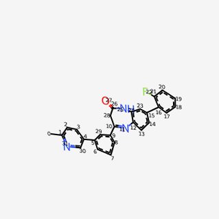 Cc1ccc(-c2cccc(C3=Nc4ccc(-c5ccccc5F)cc4NC(=O)C3)c2)cn1